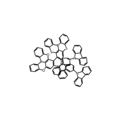 c1ccc2c(c1)Oc1cc(-n3c4ccccc4c4cc(-n5c6ccccc6c6ccccc65)ccc43)c(-c3c(-n4c5ccccc5c5cc(-n6c7ccccc7c7ccccc76)ccc54)cc4c5c3Sc3ccccc3B5c3ccccc3S4)c3c1B2c1ccccc1O3